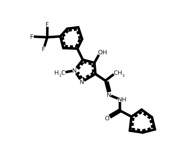 C/C(=N\NC(=O)c1ccccc1)c1nn(C)c(-c2cccc(C(F)(F)F)c2)c1O